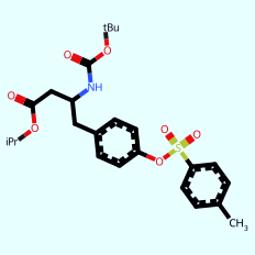 Cc1ccc(S(=O)(=O)Oc2ccc(CC(CC(=O)OC(C)C)NC(=O)OC(C)(C)C)cc2)cc1